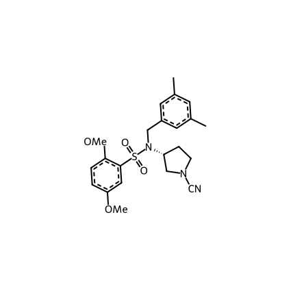 COc1ccc(OC)c(S(=O)(=O)N(Cc2cc(C)cc(C)c2)[C@@H]2CCN(C#N)C2)c1